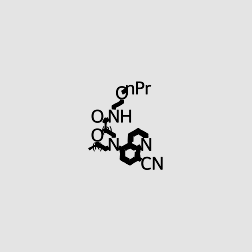 CCCOCCNC(=O)[C@H]1CN(c2ccc(C#N)c3ncccc23)C[C@@H](C)O1